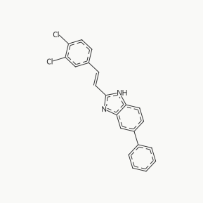 Clc1ccc(/C=C/c2nc3cc(-c4ccccc4)ccc3[nH]2)cc1Cl